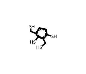 SCc1ccc(S)c(CS)c1S